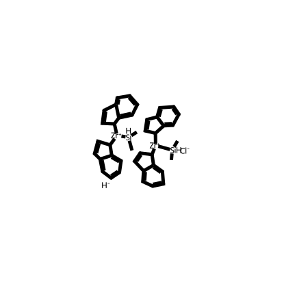 C[SiH](C)[Zr+]([CH]1C=Cc2ccccc21)[CH]1C=Cc2ccccc21.C[SiH](C)[Zr+]([CH]1C=Cc2ccccc21)[CH]1C=Cc2ccccc21.[Cl-].[H-]